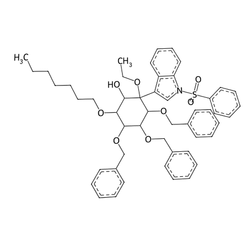 CCCCCCCOC1C(OCc2ccccc2)C(OCc2ccccc2)C(OCc2ccccc2)C(OCC)(c2cn(S(=O)(=O)c3ccccc3)c3ccccc23)C1O